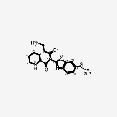 NCCC(=O)N(C(=O)[C@@H]1CCCCN1)c1nc2ccc(OC(F)(F)F)cc2s1